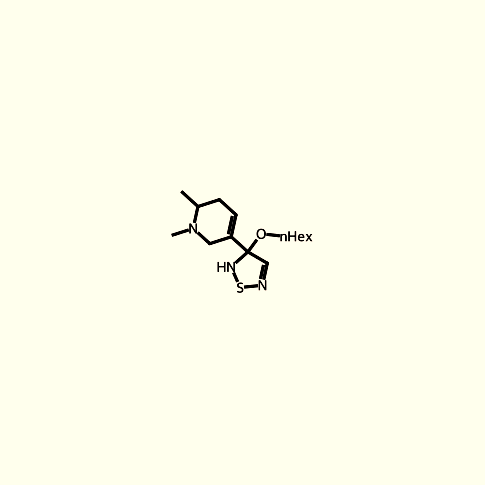 CCCCCCOC1(C2=CCC(C)N(C)C2)C=NSN1